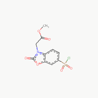 COC(=O)Cn1c(=O)oc2cc(S(=O)(=O)Cl)ccc21